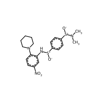 CN(C)[S+]([O-])c1ccc([S+]([O-])Nc2cc([N+](=O)[O-])ccc2N2CCCCC2)cc1